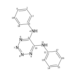 c1ccc(Nc2nnnnc2Nc2ccccc2)cc1